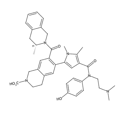 Cc1c(C(=O)N(CCN(C)C)c2ccc(O)cc2)cc(-c2cc3c(cc2C(=O)N2Cc4ccccc4C[C@H]2C)CN(C(=O)O)CC3)n1C